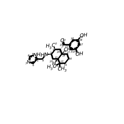 C[C@@H]1[C@H](NCc2cnc[nH]2)C[C@H]2C(C)(C)CCC[C@@]2(C)[C@H]1C(=O)c1cc(O)cc(O)c1